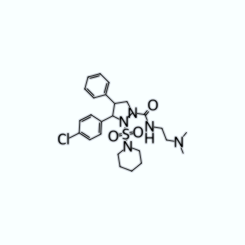 CN(C)CCNC(=O)N1CC(c2ccccc2)C(c2ccc(Cl)cc2)N1S(=O)(=O)N1CCCCC1